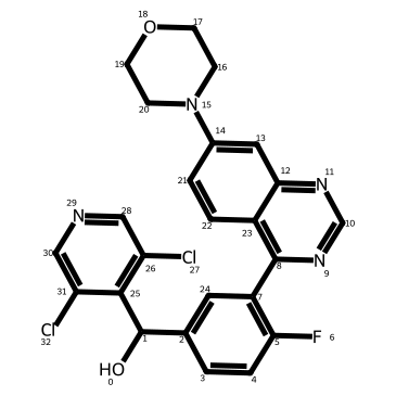 OC(c1ccc(F)c(-c2ncnc3cc(N4CCOCC4)ccc23)c1)c1c(Cl)cncc1Cl